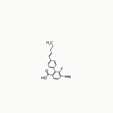 CCC/C=C/c1ccc(-c2c(C(=O)O)ccc(C#N)c2F)cc1